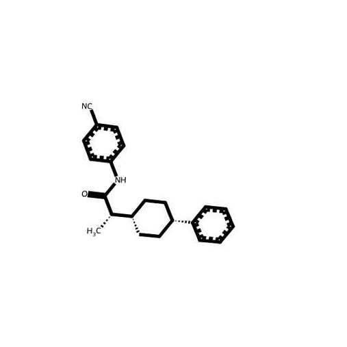 C[C@H](C(=O)Nc1ccc(C#N)cc1)[C@H]1CC[C@@H](c2ccccc2)CC1